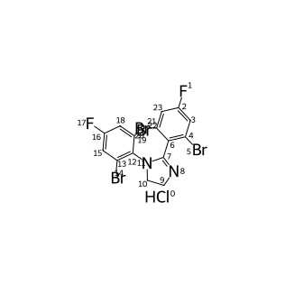 Cl.Fc1cc(Br)c(C2=NCCN2c2c(Br)cc(F)cc2Br)c(Br)c1